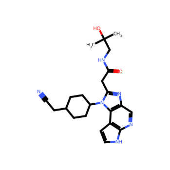 CC(C)(O)CNC(=O)Cc1nc2cnc3[nH]ccc3c2n1C1CCC(CC#N)CC1